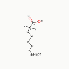 CCCCCCCCCCCCC(C)(C)C([O])=O